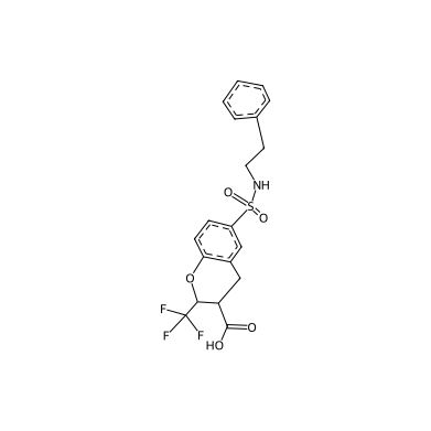 O=C(O)C1Cc2cc(S(=O)(=O)NCCc3ccccc3)ccc2OC1C(F)(F)F